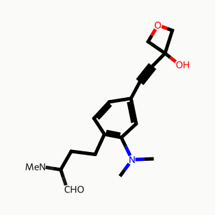 CNC(C=O)CCc1ccc(C#CC2(O)COC2)cc1N(C)C